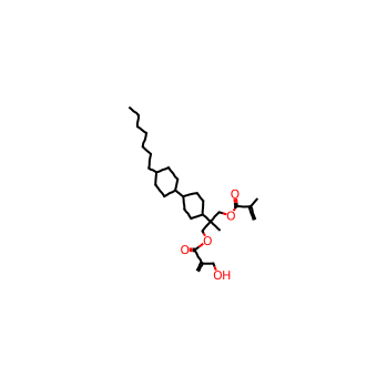 C=C(C)C(=O)OCC(C)(COC(=O)C(=C)CO)C1CCC(C2CCC(CCCCCCC)CC2)CC1